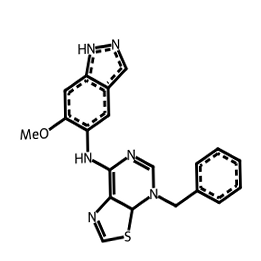 COc1cc2[nH]ncc2cc1NC1=C2N=CSC2N(Cc2ccccc2)C=N1